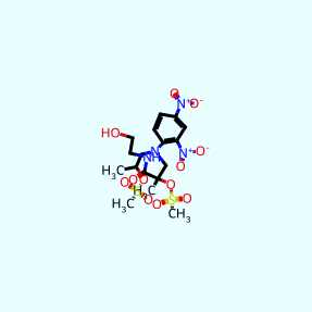 CC(CN(CC(C)(OS(C)(=O)=O)C(=O)NCCO)c1ccc([N+](=O)[O-])cc1[N+](=O)[O-])OS(C)(=O)=O